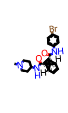 CN1CCC(NC(=O)[C@H]2[C@H](C(=O)Nc3ccc(Br)cc3)[C@@H]3C=C[C@H]2C32CC2)CC1